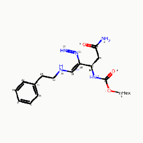 CCCCCCOC(=O)N[C@H](CC(N)=O)/C(=C/NCCc1ccccc1)N=N